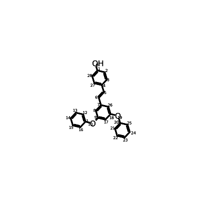 Oc1ccc(C=Cc2cc(Oc3ccccc3)cc(Oc3ccccc3)c2)cc1